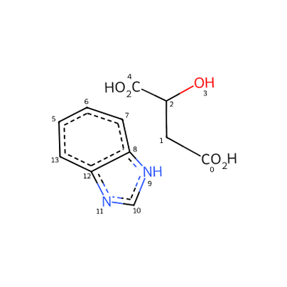 O=C(O)CC(O)C(=O)O.c1ccc2[nH]cnc2c1